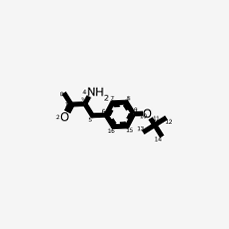 CC(=O)C(N)Cc1ccc(OC(C)(C)C)cc1